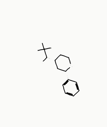 OC([C@@H]1CCN[C@H](c2ccccc2)C1)C(F)(F)F